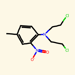 Cc1ccc(N(CCCl)CCCl)c([N+](=O)[O-])c1